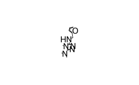 CN(C)c1nnc(NCc2ccco2)n1C